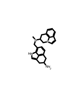 CN(Cc1ccc2c3c(c[nH]c13)CC(N)C2)C1Cc2cccc3ccn(c23)C1